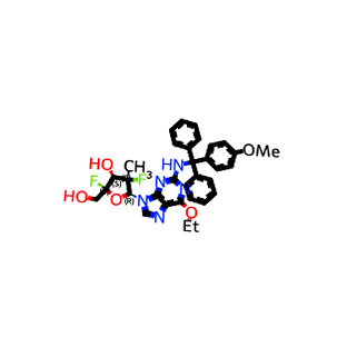 CCOc1nc(NC(c2ccccc2)(c2ccccc2)c2ccc(OC)cc2)nc2c1ncn2[C@@H]1O[C@](F)(CO)[C@@H](O)[C@@]1(C)F